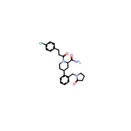 NC(=O)C1CC(c2ccccc2CN2CCCC2=O)CCN1C(=O)[CH]Cc1ccc(Cl)cc1